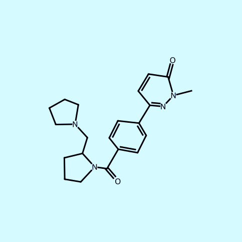 Cn1nc(-c2ccc(C(=O)N3CCCC3CN3CCCC3)cc2)ccc1=O